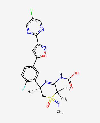 CN=[S@@]1(=O)C[C@@](C)(c2cc(-c3cc(-c4ncc(Cl)cn4)no3)ccc2F)N=C(NC(=O)O)C1(C)C